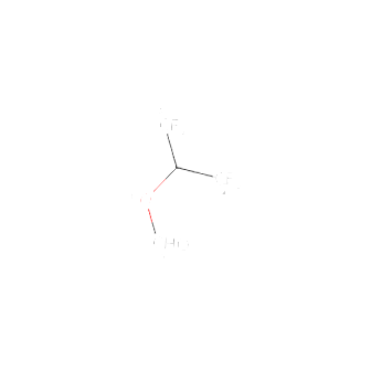 O=COC(C(F)(F)F)C(F)(F)F